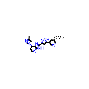 COc1cncc(-c2cc(-c3nc4c(-n5cnc(C)c5)ccnc4[nH]3)n[nH]2)c1